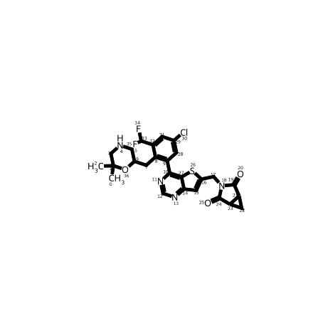 CC1(C)CNCC(Cc2c(-c3ncnc4cc(CN5C(=O)C6CC6C5=O)sc34)cc(Cl)cc2C(F)F)O1